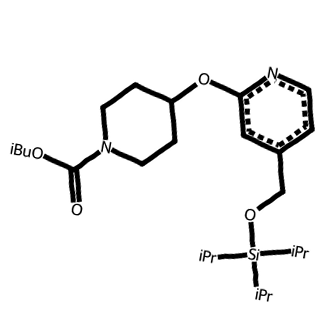 CC(C)COC(=O)N1CCC(Oc2cc(CO[Si](C(C)C)(C(C)C)C(C)C)ccn2)CC1